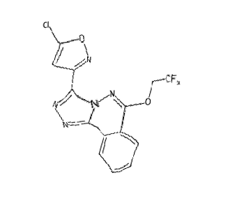 FC(F)(F)COc1nn2c(-c3cc(Cl)on3)nnc2c2ccccc12